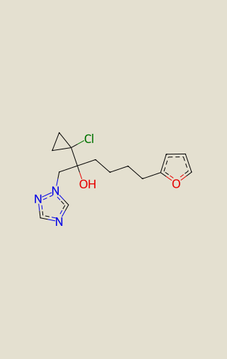 OC(CCCCc1ccco1)(Cn1cncn1)C1(Cl)CC1